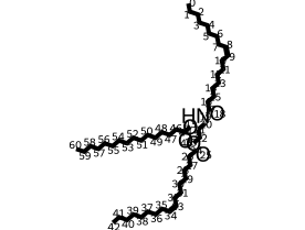 CCCCCCCC/C=C\CCCCCCCC(=O)NCC(COC(=O)CCCCCCC/C=C\CCCCCCCC)OC(=O)CCCCCCCCCCCCCCC